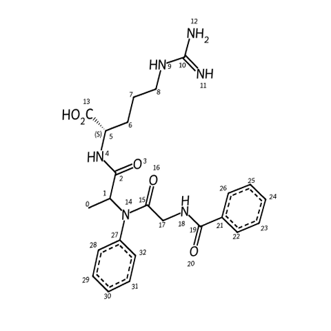 CC(C(=O)N[C@@H](CCCNC(=N)N)C(=O)O)N(C(=O)CNC(=O)c1ccccc1)c1ccccc1